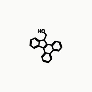 OCC1c2ccccc2-c2c1c1ccccc1c1ccccc21